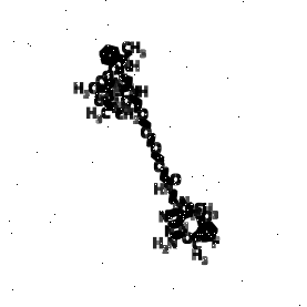 CC[C@@H](NC(=O)[C@@H]1C[C@H](NC(=O)CCOCCOCCOCCOCCC(=O)NCCN2N=CC3C(=C2C#N)c2cnc(N)c(n2)O[C@H](C)c2cc(F)ccc2C(=O)N3C)CN1C(=O)[C@@H](NC(=O)[C@H](C)NC)C(C)(C)C)c1ccccc1